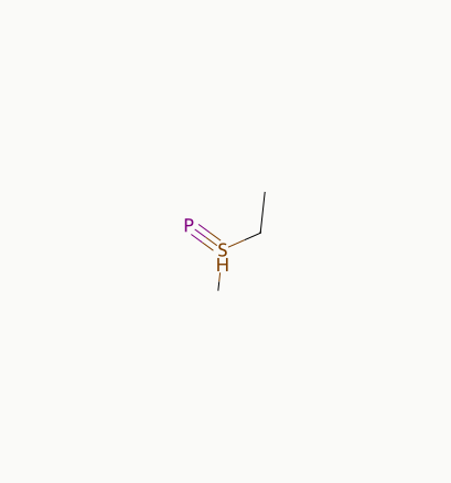 CC[SH](C)#P